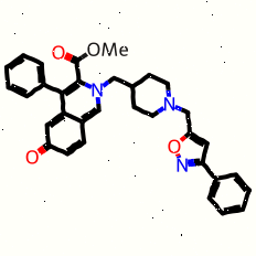 COC(=O)c1c(-c2ccccc2)c2cc(=O)ccc-2cn1CC1CCN(Cc2cc(-c3ccccc3)no2)CC1